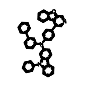 c1ccc(-c2cccc(N(c3ccc(-c4cncc5oc6ccccc6c45)cc3)c3ccc4c5ccccc5n(-c5ccccc5)c4c3)c2)cc1